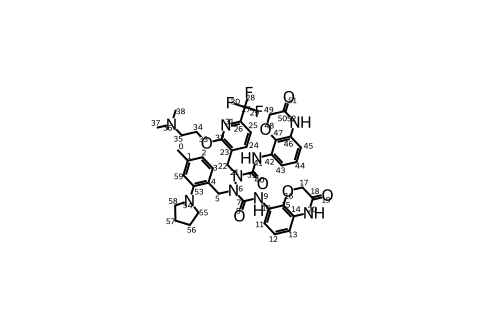 Cc1ccc(CN(C(=O)Nc2cccc3c2OCC(=O)N3)N(Cc2ccc(C(F)(F)F)nc2OCCN(C)C)C(=O)Nc2cccc3c2OCC(=O)N3)c(N2CCCC2)c1